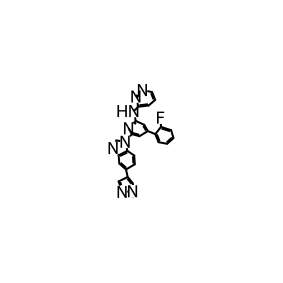 Cn1cc(-c2ccc3c(c2)ncn3-c2cc(-c3ccccc3F)cc(Nc3cccnn3)n2)cn1